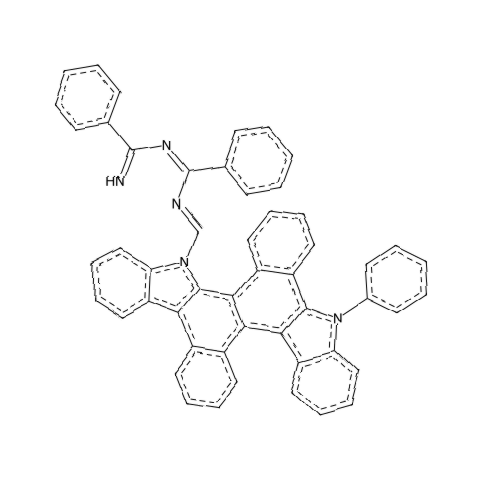 N=C(/N=C(\N=C\n1c2ccccc2c2c3ccccc3c3c(c4ccccc4c4c3c3ccccc3n4-c3ccccc3)c21)c1ccccc1)c1ccccc1